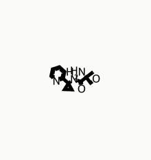 NC1(C(=O)NC2(c3ccccn3)CC2)COC1